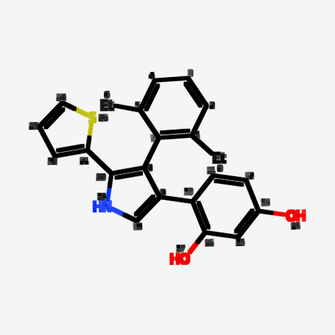 CCc1cccc(CC)c1-c1c(-c2ccc(O)cc2O)c[nH]c1-c1cccs1